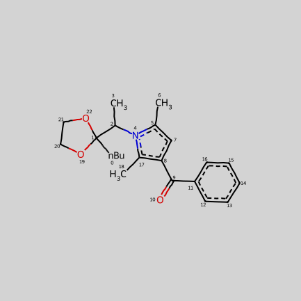 CCCCC1(C(C)n2c(C)cc(C(=O)c3ccccc3)c2C)OCCO1